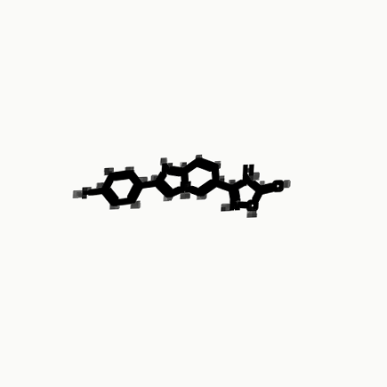 O=c1[nH]c(-c2ccc3nc(-c4ccc(F)cc4)cn3c2)no1